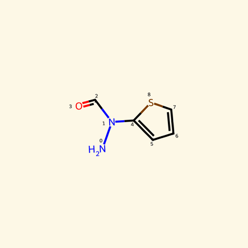 NN([C]=O)c1cccs1